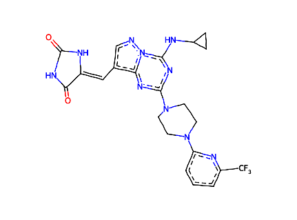 O=C1NC(=O)/C(=C/c2cnn3c(NC4CC4)nc(N4CCN(c5cccc(C(F)(F)F)n5)CC4)nc23)N1